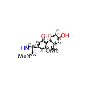 C=C(C)[C@@H]1C[C@H](O)C(C)=C[C@H]1c1c(O)cc(/C(C=N)=C/NC)cc1OC